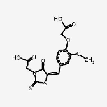 COc1cc(C=C2SC(=S)N(CC(=O)O)C2=O)ccc1OCC(=O)O